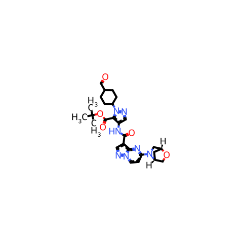 CC(C)(C)OC(=O)c1c(NC(=O)c2cnn3ccc(N4C[C@H]5C[C@@H]4CO5)nc23)cnn1C1CCC(C=O)CC1